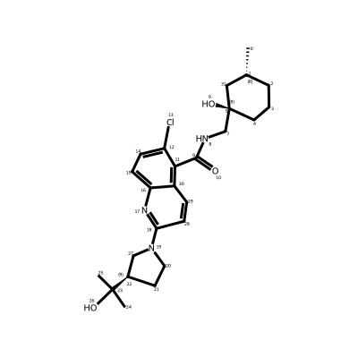 C[C@@H]1CCC[C@](O)(CNC(=O)c2c(Cl)ccc3nc(N4CC[C@@H](C(C)(C)O)C4)ccc23)C1